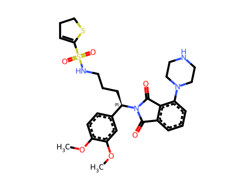 COc1ccc([C@@H](CCCNS(=O)(=O)C2=CCCS2)N2C(=O)c3cccc(N4CCNCC4)c3C2=O)cc1OC